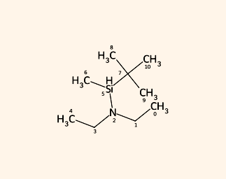 CCN(CC)[SiH](C)C(C)(C)C